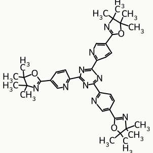 CC1(C)N=C(c2ccc(-c3nc(-c4ccc(C5=NC(C)(C)C(C)(C)O5)cn4)nc(-c4ccc(C5=NC(C)(C)C(C)(C)O5)cn4)n3)nc2)OC1(C)C